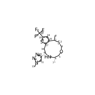 CC1SCOC[C@H](C)N[C@H](c2cn(C)nn2)Cc2sc(C(F)(F)F)cc21